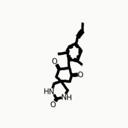 CC#Cc1cc(C)c(C2C(=O)CC3(CNC(=O)NC3)CC2=O)c(C)c1